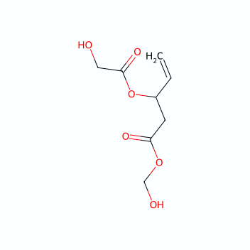 C=CC(CC(=O)OCO)OC(=O)CO